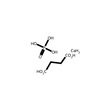 O=C(O)CCC(=O)O.O=P(O)(O)O.[CaH2]